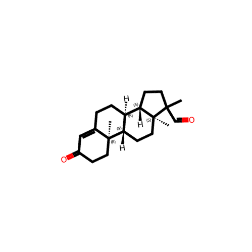 CC1(C=O)CC[C@H]2[C@@H]3CCC4=CC(=O)CC[C@]4(C)[C@H]3CC[C@@]21C